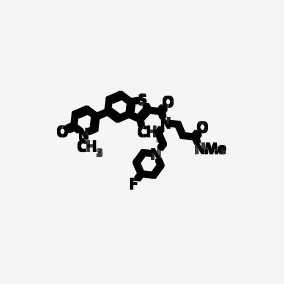 CNC(=O)CCN(CCN1CCC(F)CC1)C(=O)c1sc2ccc(-c3ccc(=O)n(C)c3)cc2c1C